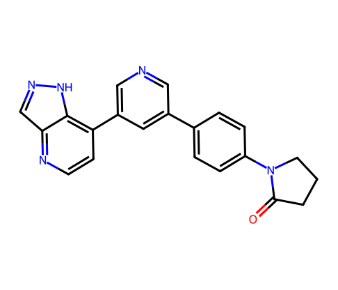 O=C1CCCN1c1ccc(-c2cncc(-c3ccnc4cn[nH]c34)c2)cc1